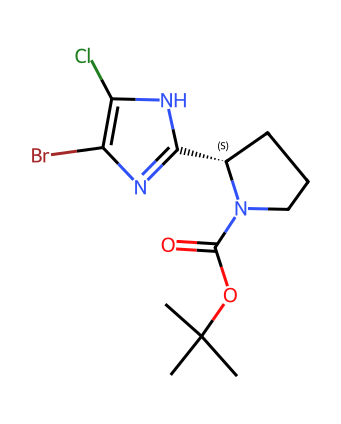 CC(C)(C)OC(=O)N1CCC[C@H]1c1nc(Br)c(Cl)[nH]1